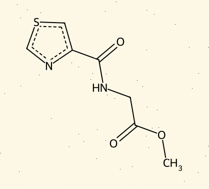 COC(=O)CNC(=O)c1cscn1